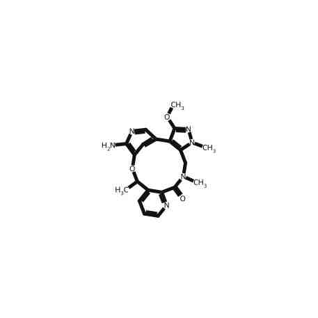 COc1nn(C)c2c1-c1cnc(N)c(c1)OC(C)c1cccnc1C(=O)N(C)C2